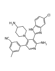 Cc1cc(C#N)cc(-c2cnc(N)c(-c3nc4cc(Cl)ccc4[nH]3)c2N2CCC(N)CC2)c1